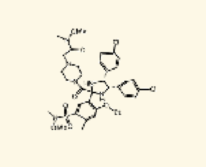 CCOc1cc(C)c(S(=O)(=O)N(C)OC)cc1C1(C(=O)N2CCN(CC(=O)N(C)OC)CC2)N[C@H](c2ccc(Cl)cc2)[C@H](c2ccc(Cl)cc2)N1